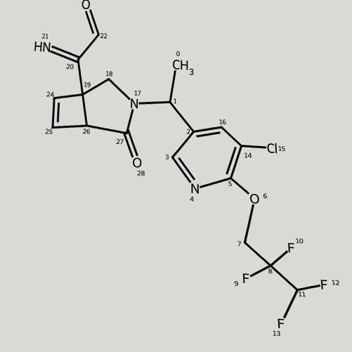 CC(c1cnc(OCC(F)(F)C(F)F)c(Cl)c1)N1CC2(C(=N)C=O)C=CC2C1=O